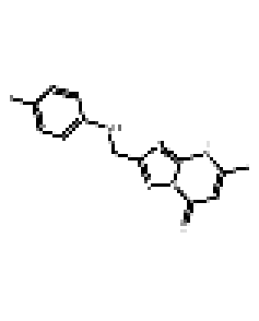 Cc1ccc(NCc2nc3[nH]c(C)cc(=O)n3n2)cc1